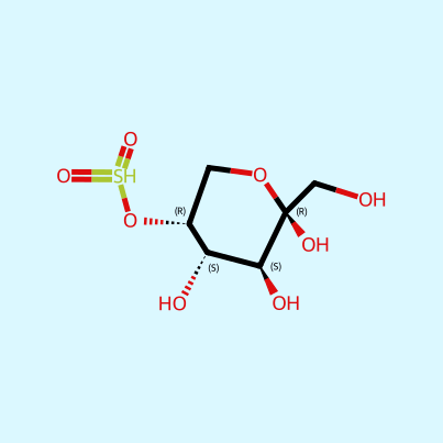 O=[SH](=O)O[C@@H]1CO[C@](O)(CO)[C@@H](O)[C@@H]1O